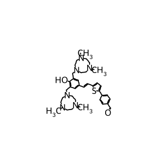 CN1CCN(C)CCN(Cc2cc(/C=C/c3ccc(-c4ccc(C=O)cc4)s3)cc(CN3CCN(C)CCN(C)CC3)c2O)CC1